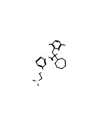 Cc1ccc(F)c2c1NC(C(=O)Nc1cccc(OCCN(C)C)c1)(C1CCCCCC1)C2